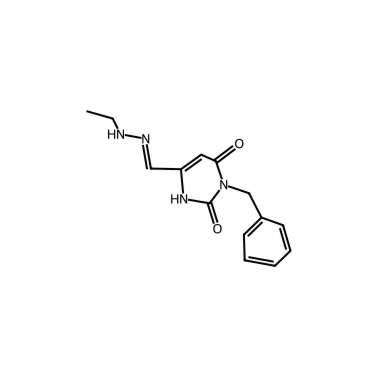 CCNN=Cc1cc(=O)n(Cc2ccccc2)c(=O)[nH]1